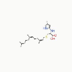 CC(C)=CCCC(C)=CCCC(C)=CCSCC(Nc1cc(C)c[nH]1)C(=O)O